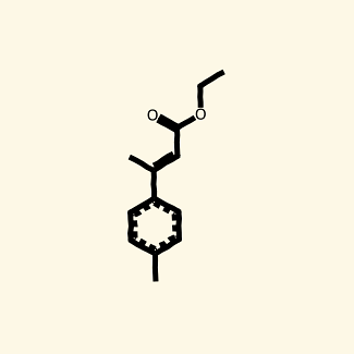 CCOC(=O)/C=C(\C)c1ccc(C)cc1